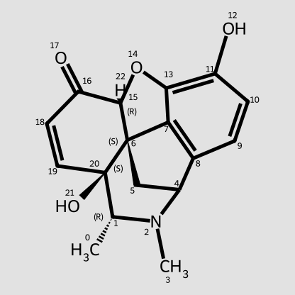 C[C@H]1N(C)C2C[C@]34c5c2ccc(O)c5O[C@H]3C(=O)C=C[C@@]14O